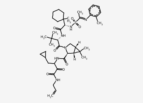 C=CCNC(=O)C(=O)C(CC1CC1)NC(=O)[C@@H]1[C@@H]2[C@H](CN1C(=O)[C@@H](NC(=O)[C@@H](NS(=O)(=O)/C(C)=N/c1ccccc1C)C1(C)CCCCC1)C(C)(C)C)C2(C)C